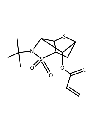 C=CC(=O)OC1C2CC3C(S2)C1N(C(C)(C)C)S3(=O)=O